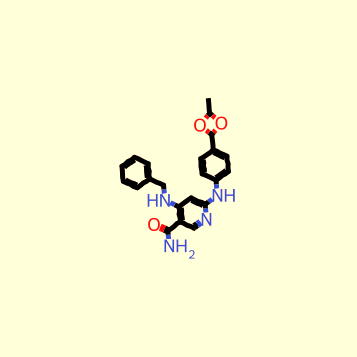 CC1OC(c2ccc(Nc3cc(NCc4ccccc4)c(C(N)=O)cn3)cc2)O1